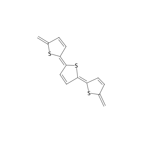 C=c1cc/c(=c2/cc/c(=c3/ccc(=C)s3)s2)s1